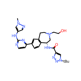 Cn1cc(Nc2nccc(-c3ccc4c(c3)CCN(CCO)C[C@@H]4NC(=O)c3cn(C(C)(C)C)nn3)n2)cn1